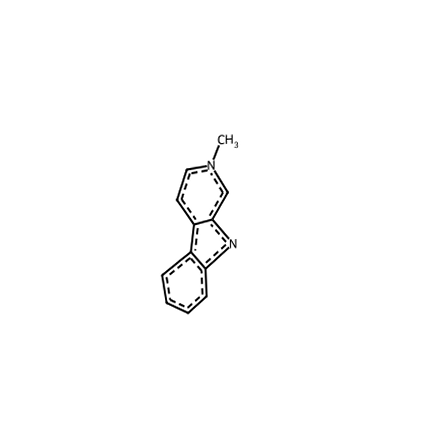 Cn1ccc2c3ccccc3nc-2c1